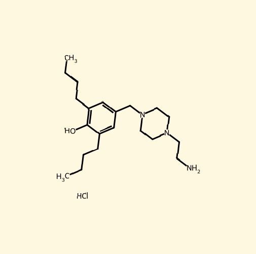 CCCCc1cc(CN2CCN(CCN)CC2)cc(CCCC)c1O.Cl